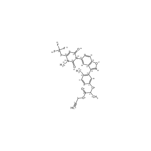 C#CCOC(=O)C(C)Oc1ccc(C)c(-c2noc3ccc(-n4c(=O)cc(CC(F)(F)F)n(C)c4=O)cc23)c1